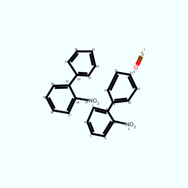 O=S.O=[N+]([O-])c1ccccc1-c1ccccc1.O=[N+]([O-])c1ccccc1-c1ccccc1